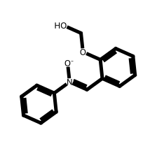 [O-][N+](=Cc1ccccc1OCO)c1ccccc1